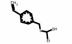 C=Cc1ccc(CSC(O)CC)cc1